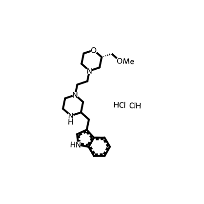 COC[C@@H]1CN(CCN2CCNC(Cc3c[nH]c4ccccc34)C2)CCO1.Cl.Cl